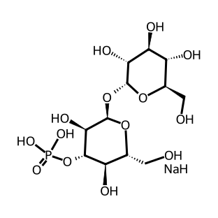 O=P(O)(O)O[C@@H]1[C@@H](O)[C@@H](O[C@H]2O[C@H](CO)[C@@H](O)[C@H](O)[C@H]2O)O[C@H](CO)[C@H]1O.[NaH]